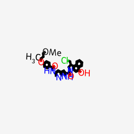 COCC[C@H](C)Oc1ccc(C(=O)Nc2cnc3[nH]c(C(=O)N4CC(CCl)c5c4cc(O)c4ccccc54)cc3c2)cc1